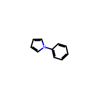 [c]1ccn(-c2ccccc2)c1